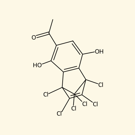 CC(=O)c1cc(O)c2c(c1O)C1(Cl)C(Cl)=C(Cl)C2(Cl)C1(Cl)Cl